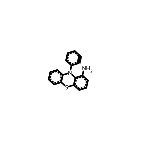 Nc1cccc2c1N(c1c#cccc1)c1ccccc1S2